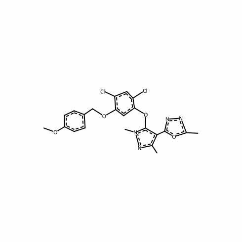 COc1ccc(COc2cc(Oc3c(-c4nnc(C)o4)c(C)nn3C)c(Cl)cc2Cl)cc1